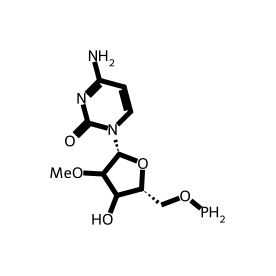 COC1C(O)[C@@H](COP)O[C@H]1n1ccc(N)nc1=O